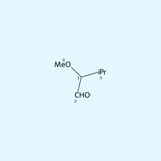 COC([C]=O)C(C)C